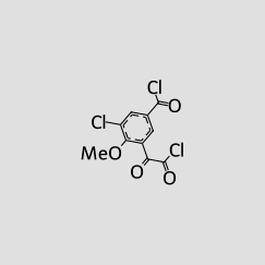 COc1c(Cl)cc(C(=O)Cl)cc1C(=O)C(=O)Cl